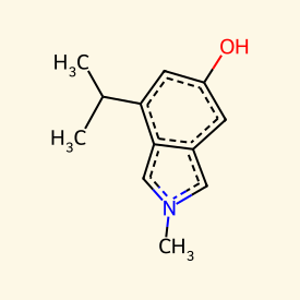 CC(C)c1cc(O)cc2cn(C)cc12